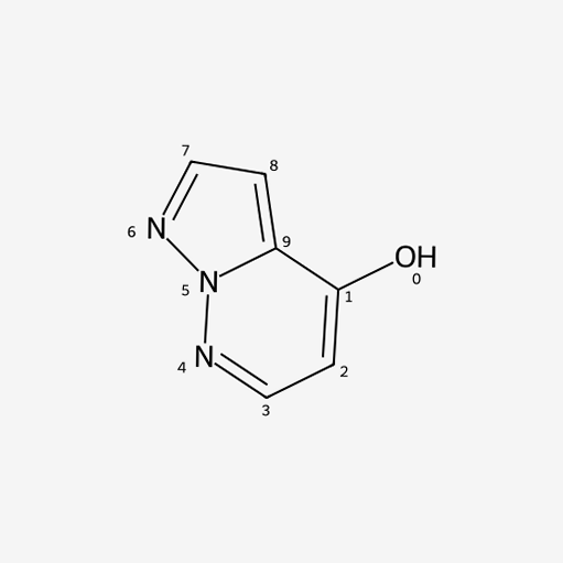 Oc1ccnn2nccc12